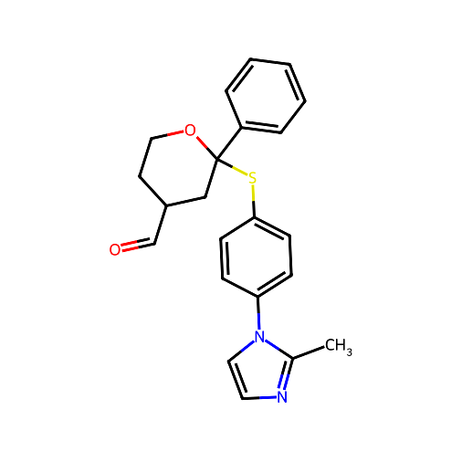 Cc1nccn1-c1ccc(SC2(c3ccccc3)CC(C=O)CCO2)cc1